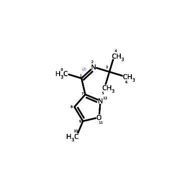 C/C(=N/C(C)(C)C)c1cc(C)on1